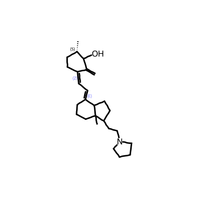 C=C1/C(=C\C=C2/CCCC3(C)C(CCN4CCCC4)CCC23)CC[C@H](C)C1O